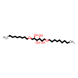 CCCCCCCCCOC[C@@H](O)[C@@H](O)[C@H](O)[C@@H](O)COCCCCCCCCC